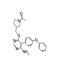 CC(=O)N1CCC(COc2ncnc(N)c2-c2ccc(Oc3ccccc3)cc2)C1